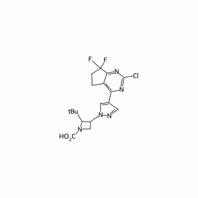 CC(C)(C)C1C(n2cc(-c3nc(Cl)nc4c3CCC4(F)F)cn2)CN1C(=O)O